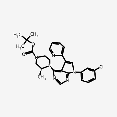 C[C@H]1CN(C(=O)OC(C)(C)C)CCN1c1ncnc2c1c(-c1ccccn1)cn2-c1cccc(Cl)c1